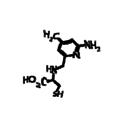 Cc1cc(N)nc(CN[C@@H](CS)C(=O)O)c1